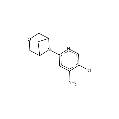 Nc1cc(N2C3COCC2C3)ncc1Cl